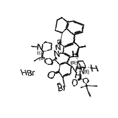 Br.Cc1cc2c(nc(O[C@@H](C)[C@@H]3CCCN3C)c3c(=O)c(Br)cn([C@H]4[C@@H]5C[C@H]4N(C(=O)OC(C)(C)C)C5)c32)c(F)c1-c1cccc2c1C(C#N)CCC2